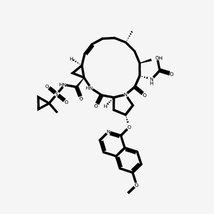 COc1ccc2c(O[C@@H]3C[C@H]4C(=O)N[C@]5(C(=O)NS(=O)(=O)C6(C)CC6)C[C@H]5/C=C\CC[C@H](C)C[C@@H](C)[C@H](NC(=O)O)C(=O)N4C3)nccc2c1